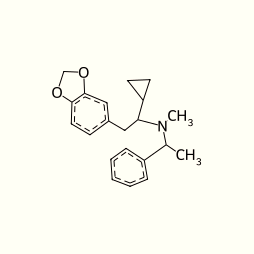 CC(c1ccccc1)N(C)C(Cc1ccc2c(c1)OCO2)C1CC1